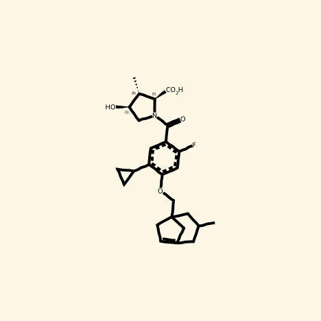 CC1CC2=CCC(COc3cc(F)c(C(=O)N4C[C@@H](O)[C@H](C)[C@H]4C(=O)O)cc3C3CC3)(C2)C1